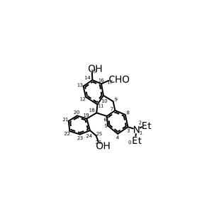 CCN(CC)c1ccc2c(c1)Cc1c(ccc(O)c1C=O)C2c1ccccc1CO